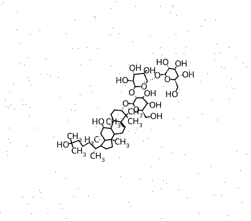 C[C@H](CCCC(C)(C)O)C1CC[C@@]2(C)C3CC=C4C(CC[C@H](O[C@@H]5O[C@H](CO)[C@@H](O)[C@H](O)[C@H]5OC5O[C@@H](CO[C@@H]6O[C@H](CO)[C@@H](O)[C@H](O)[C@H]6O)[C@H](O)[C@@H](O)[C@@H]5O)C4(C)C)[C@]3(C)[C@H](O)C[C@]12C